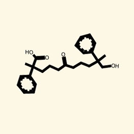 CC(CO)(CCCC(=O)CCCC(C)(C(=O)O)c1ccccc1)c1ccccc1